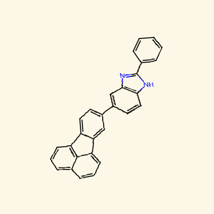 c1ccc(-c2nc3cc(-c4ccc5c(c4)-c4cccc6cccc-5c46)ccc3[nH]2)cc1